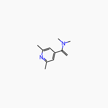 C=C(c1cc(C)nc(C)c1)N(C)C